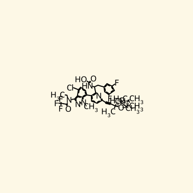 CCN(C(=O)C(F)(F)F)c1nn(C)c2c(-c3ccc(C#CC(C)(C)O[Si](C)(C)C(C)(C)C)nc3C(Cc3cc(F)cc(F)c3)NC(=O)O)ccc(Cl)c12